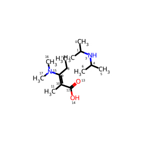 CC(C)NC(C)C.CC/C(=C(/C)C(=O)O)N(C)C